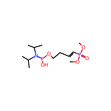 COP(=O)(C=CCCOP(O)N(C(C)C)C(C)C)OC